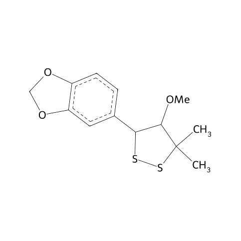 COC1C(c2ccc3c(c2)OCO3)SSC1(C)C